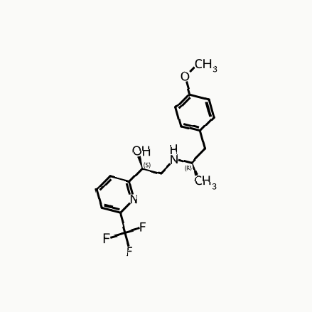 COc1ccc(C[C@@H](C)NC[C@H](O)c2cccc(C(F)(F)F)n2)cc1